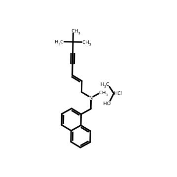 CCO.CN(C/C=C/C#CC(C)(C)C)Cc1cccc2ccccc12.Cl